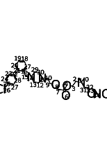 CN(CCOC(=O)COCCN1CCN(Cc2ccccc2-c2ccc(Cl)cc2)CC1)CCO[N+](=O)[O-]